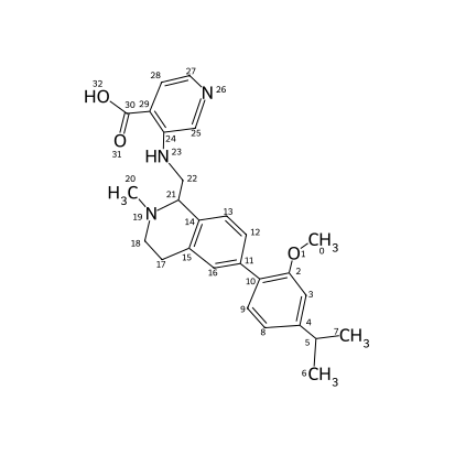 COc1cc(C(C)C)ccc1-c1ccc2c(c1)CCN(C)C2CNc1cnccc1C(=O)O